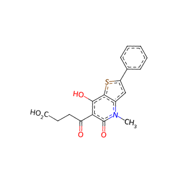 Cn1c(=O)c(C(=O)CCC(=O)O)c(O)c2sc(-c3ccccc3)cc21